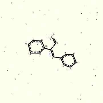 C=[C]/C(=[C]\c1ccccc1)c1ccccc1